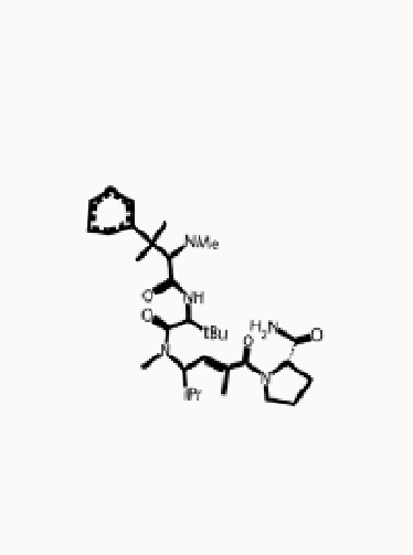 CNC(C(=O)NC(C(=O)N(C)C(/C=C(\C)C(=O)N1CCC[C@H]1C(N)=O)C(C)C)C(C)(C)C)C(C)(C)c1ccccc1